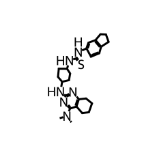 CN(C)c1nc(NC2CCC(NC(=S)Nc3ccc4c(c3)CCC4)CC2)nc2c1CCCC2